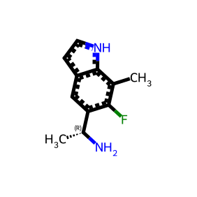 Cc1c(F)c([C@@H](C)N)cc2cc[nH]c12